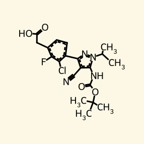 CC(C)n1nc(-c2ccc(CC(=O)O)c(F)c2Cl)c(C#N)c1NC(=O)OC(C)(C)C